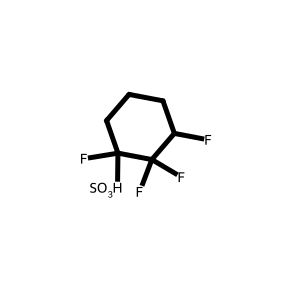 O=S(=O)(O)C1(F)CCCC(F)C1(F)F